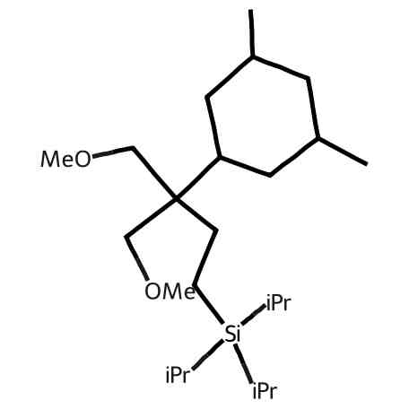 COCC(CC[Si](C(C)C)(C(C)C)C(C)C)(COC)C1CC(C)CC(C)C1